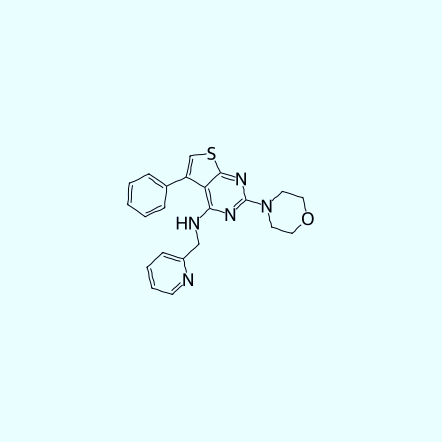 c1ccc(-c2csc3nc(N4CCOCC4)nc(NCc4ccccn4)c23)cc1